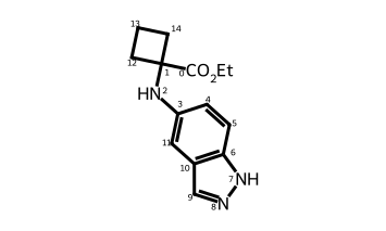 CCOC(=O)C1(Nc2ccc3[nH]ncc3c2)CCC1